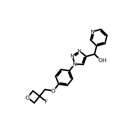 OC(c1cccnc1)c1cn(-c2ccc(OCC3(F)COC3)cc2)nn1